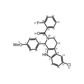 COc1ccc(C2c3[nH]c4ccc(Cl)cc4c3CCN2C(=O)c2ccccc2F)cc1